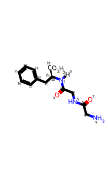 [2H]N(C(=O)CNC(=O)CN)[C@@H](Cc1ccccc1)C(=O)O